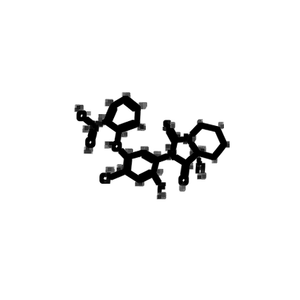 O=C1[C@@H]2CCCCN2C(=S)N1c1cc(Oc2ccccc2[N+](=O)[O-])c(Cl)cc1F